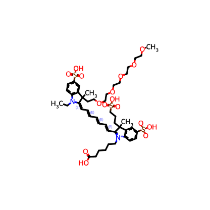 CCN1/C(=C/C=C/C=C/C=C/C2=[N+](CCCCCC(=O)O)c3ccc(S(=O)(=O)O)cc3C2(C)CCCS(=O)(=O)O)C(C)(CCOCCOCCOCCOCCOC)c2cc(S(=O)(=O)O)ccc21